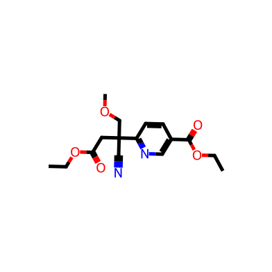 CCOC(=O)CC(C#N)(COC)c1ccc(C(=O)OCC)cn1